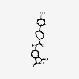 O=C1NC(=O)c2cc(NC(=O)N3CC=C(c4ccc(O)cc4)CC3)ccc21